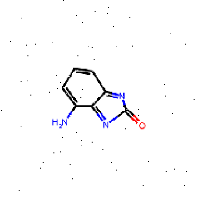 Nc1cccc2c1=NC(=O)N=2